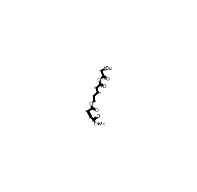 COC(=O)/C=C\C(=O)OCCCCC(=O)OC(=O)CC(C)(C)C